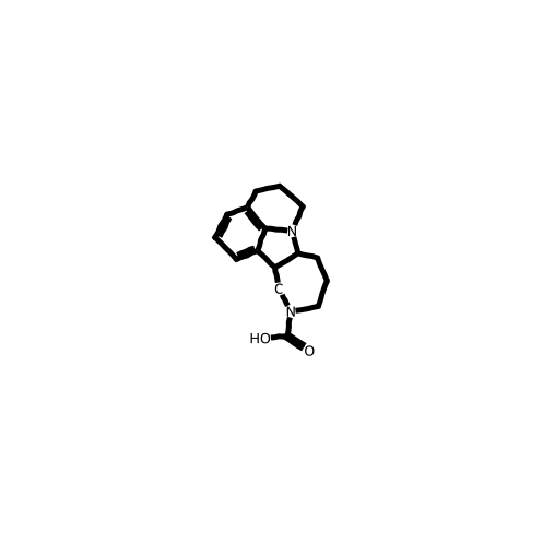 O=C(O)N1CCCC2C(C1)c1cccc3c1N2CCC3